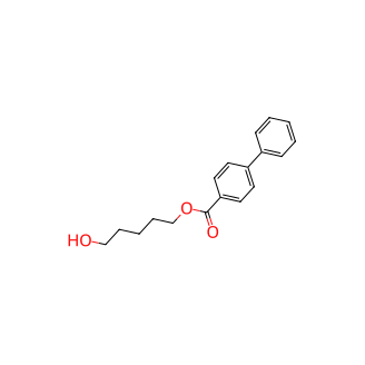 O=C(OCCCCCO)c1ccc(-c2ccccc2)cc1